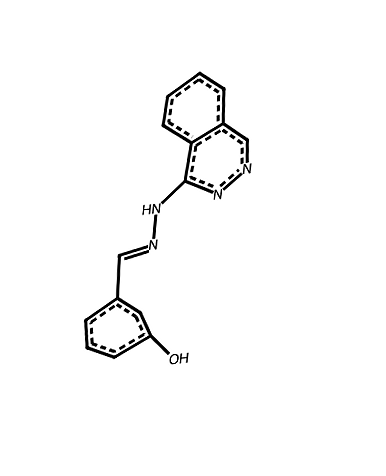 Oc1cccc(C=NNc2nncc3ccccc23)c1